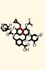 O=C(O)c1ccc(CN(C(=O)O[C@H]2CN3CCC2CC3)c2ccccc2F)cc1[C@@H](Cc1c(Cl)c[n+]([O-])cc1Cl)c1ccc(OC(F)F)c(OCC2CC2)c1